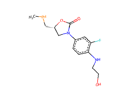 CPC[C@H]1CN(c2ccc(NCCO)c(F)c2)C(=O)O1